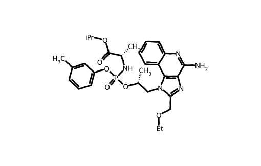 CCOCc1nc2c(N)nc3ccccc3c2n1C[C@@H](C)OP(=O)(N[C@@H](C)C(=O)OC(C)C)Oc1cccc(C)c1